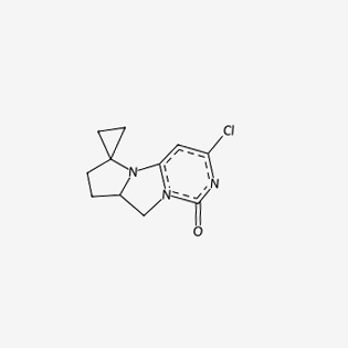 O=c1nc(Cl)cc2n1CC1CCC3(CC3)N21